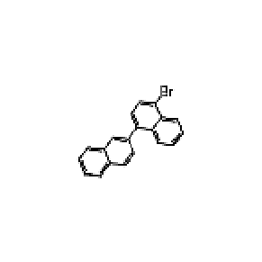 Brc1ccc(-c2ccc3ccccc3c2)c2ccccc12